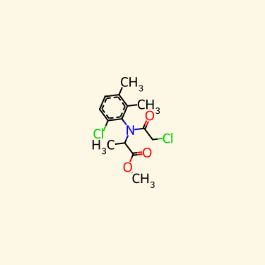 COC(=O)C(C)N(C(=O)CCl)c1c(Cl)ccc(C)c1C